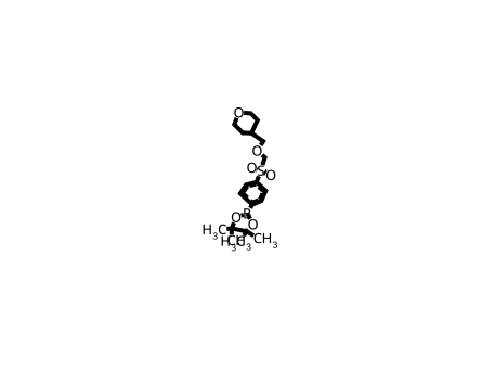 CC1(C)OB(c2ccc(S(=O)(=O)COCC3CCOCC3)cc2)OC1(C)C